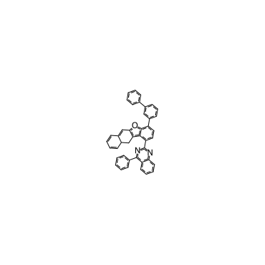 C1=CC2=Cc3oc4c(-c5cccc(-c6ccccc6)c5)ccc(-c5nc(-c6ccccc6)c6ccccc6n5)c4c3CC2C=C1